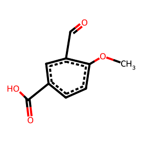 COc1ccc(C(=O)O)cc1C=O